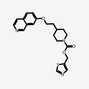 O=C(OCc1cncs1)N1CCC(CCOc2ccc3ccncc3c2)CC1